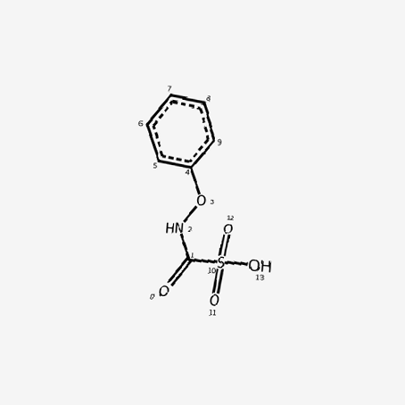 O=C(NOc1ccccc1)S(=O)(=O)O